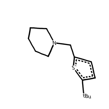 CC(C)(C)c1ccc(CN2CCCCC2)s1